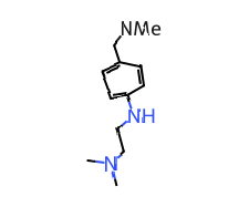 CNCc1ccc(NCCN(C)C)cc1